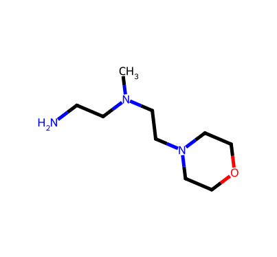 CN(CCN)CCN1CCOCC1